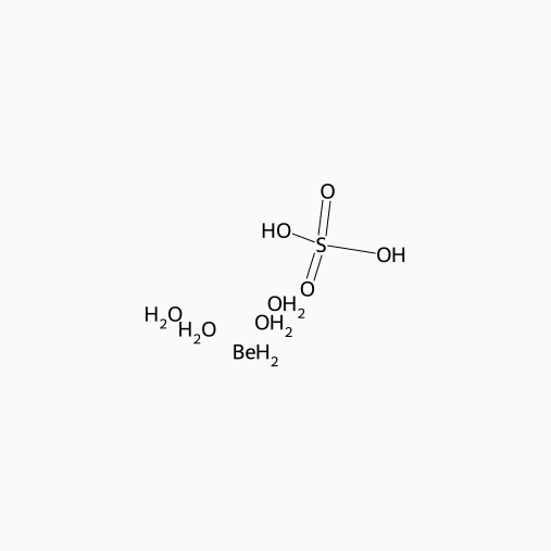 O.O.O.O.O=S(=O)(O)O.[BeH2]